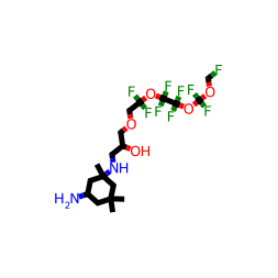 CC1(C)CC(N)CC(C)(NCC(O)COCC(F)(F)OC(F)(F)C(F)(F)OC(F)(F)OCF)C1